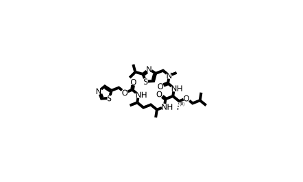 CC(C)CO[C@H](C)C(NC(=O)N(C)Cc1csc(C(C)C)n1)C(=O)NC(C)CCC(C)NC(=O)OCc1cncs1